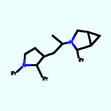 CC(C)C1C(CC(C)N2CC3CC3C2C(C)C)CCN1C(C)C